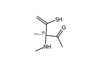 C=C(S)[C@](C)(NC)C(C)=O